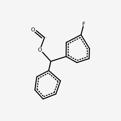 O=[C]OC(c1ccccc1)c1cccc(F)c1